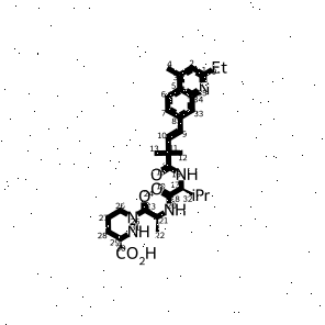 CCc1cc(C)c2ccc(/C=C/C(C)(C)C(=O)N[C@H](C(=O)N[C@@H](C)C(=O)N3CCC[C@@H](C(=O)O)N3)C(C)C)cc2n1